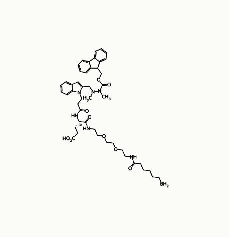 BCCCCCC(=O)NCCOCCOCCNC(=O)[C@H](CCC(=O)O)NC(=O)CCn1c(CN(C)N(C)C(=O)OCC2c3ccccc3-c3ccccc32)cc2ccccc21